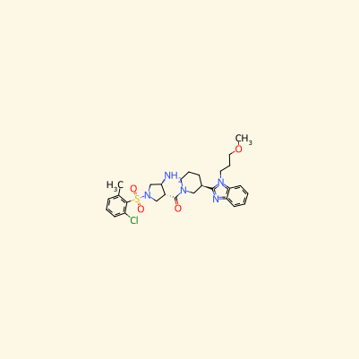 COCCCn1c([C@@H]2CCCN(C(=O)[C@@H]3CN(S(=O)(=O)c4c(C)cccc4Cl)C[C@H]3N)C2)nc2ccccc21